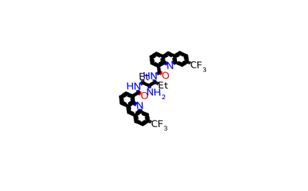 CCC(NC(=O)c1cccc2cc3ccc(C(F)(F)F)cc3nc12)C(N)C(CC)NC(=O)c1cccc2cc3ccc(C(F)(F)F)cc3nc12